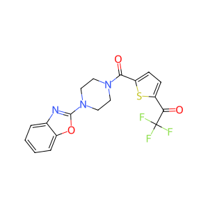 O=C(c1ccc(C(=O)C(F)(F)F)s1)N1CCN(c2nc3ccccc3o2)CC1